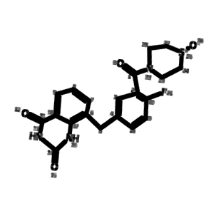 O=C(c1cc(Cc2cccc3c(=O)[nH]c(=O)[nH]c23)ccc1F)N1CC[S+]([O-])CC1